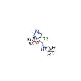 CC[Si](CC)(CC)OC(CN[C@H]1C[C@@H]2[C@H](C1)C2(C)C)c1nc(C)ncc1Cl